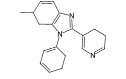 CC1C=Cc2nc(C3=CN=CCC3)n(C3=CC=CCC3)c2C1